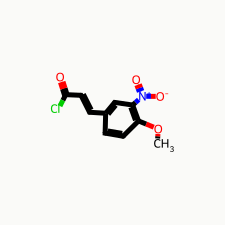 COc1ccc(C=CC(=O)Cl)cc1[N+](=O)[O-]